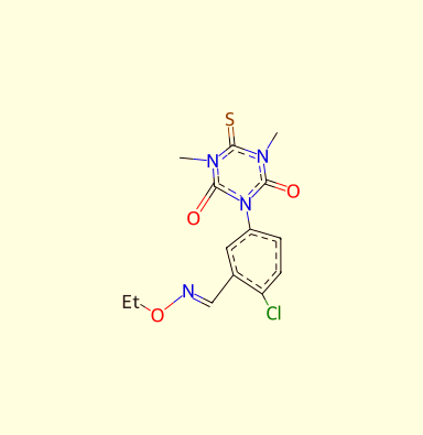 CCON=Cc1cc(-n2c(=O)n(C)c(=S)n(C)c2=O)ccc1Cl